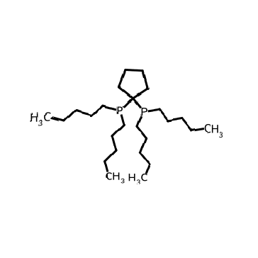 CCCCCP(CCCCC)C1(P(CCCCC)CCCCC)CCCC1